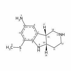 CSc1cc(N)cc2c1N[C@H]1CCNC[C@@H]21